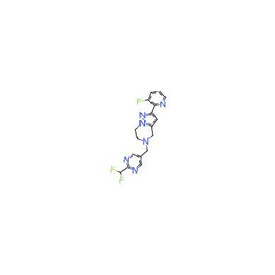 Fc1cccnc1-c1cc2n(n1)CCN(Cc1cnc(C(F)F)nc1)C2